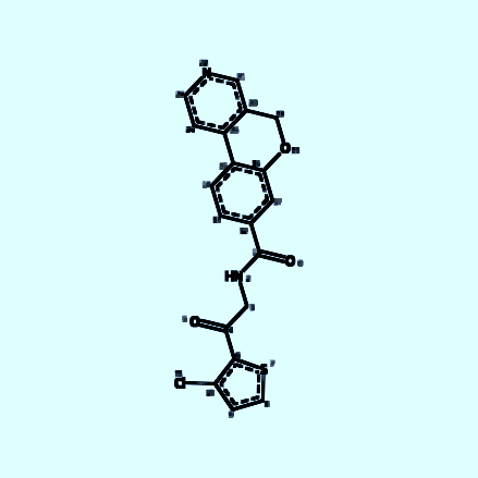 O=C(NCC(=O)c1sccc1Cl)c1ccc2c(c1)OCc1cnccc1-2